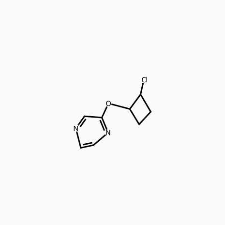 ClC1CCC1Oc1cnccn1